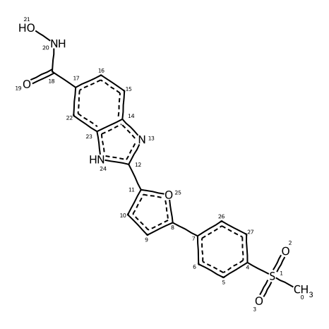 CS(=O)(=O)c1ccc(-c2ccc(-c3nc4ccc(C(=O)NO)cc4[nH]3)o2)cc1